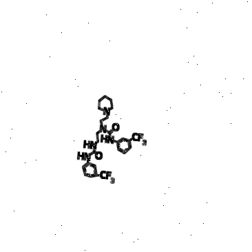 O=C(NCCN(CCN1CCCCC1)C(=O)Nc1cccc(C(F)(F)F)c1)Nc1cccc(C(F)(F)F)c1